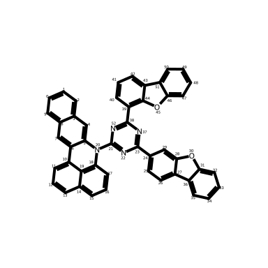 c1ccc2cc3c(cc2c1)-c1cccc2cccc(c12)N3c1nc(-c2ccc3c(c2)oc2ccccc23)nc(-c2cccc3c2oc2ccccc23)n1